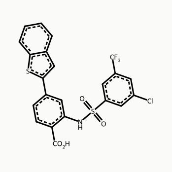 O=C(O)c1ccc(-c2cc3ccccc3s2)cc1NS(=O)(=O)c1cc(Cl)cc(C(F)(F)F)c1